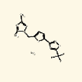 Cc1nc(C)n(Cc2ccc(-c3noc(C(F)(F)F)n3)s2)n1.N